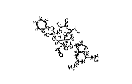 CCOC(=O)[C@H](C)N[P@](=O)(Oc1ccccc1)OC1[C@@]2(CCl)O[C@@H](n3cnc4c(NC)nc(N)nc43)[C@@H](F)[C@@]12O